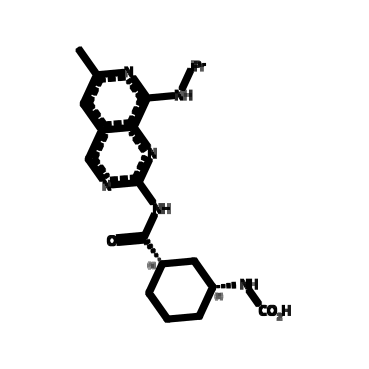 Cc1cc2cnc(NC(=O)[C@H]3CCC[C@@H](NC(=O)O)C3)nc2c(NC(C)C)n1